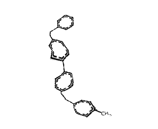 Cc1ccc(Cc2ccc(-c3ccc(Cc4ccccc4)cc3)cc2)cc1